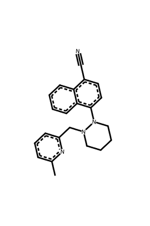 Cc1cccc(CN2CCCCN2c2ccc(C#N)c3ccccc23)n1